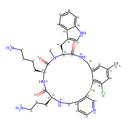 CN1C(=O)[C@H](CCCCN)NC(=O)[C@H](CCCN)NCc2ccncc2Sc2c(Cl)cc(C(F)(F)F)cc2CNC(=O)[C@@H]1Cc1c[nH]c2ccccc12